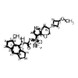 COC1CN([C@@H]2COc3c([S@](N)(=O)=NC(=O)Nc4c5c(cc6c4[C@@H](C)CC6)CCC5)cnn3C2)C1